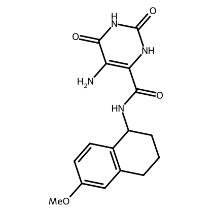 COc1ccc2c(c1)CCCC2NC(=O)c1[nH]c(=O)[nH]c(=O)c1N